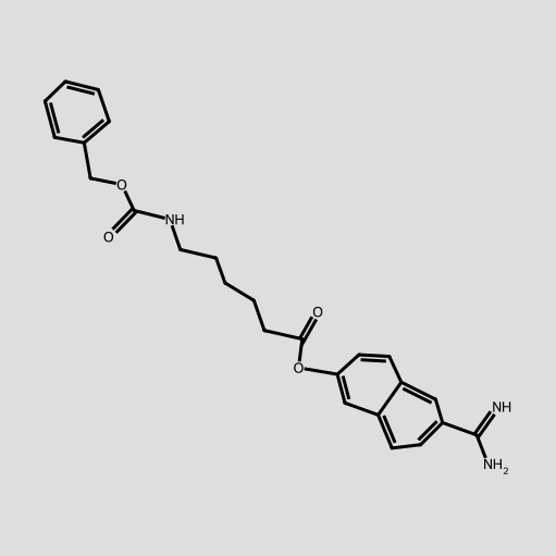 N=C(N)c1ccc2cc(OC(=O)CCCCCNC(=O)OCc3ccccc3)ccc2c1